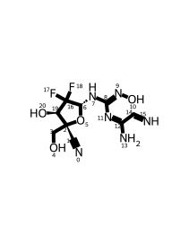 N#C[C@]1(CO)O[C@@H](NC(=N/O)/N=C(/N)C=N)C(F)(F)[C@@H]1O